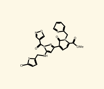 COC(=O)c1ccc(-c2cc(NCc3ccc(Cl)s3)n(C(=O)c3cnoc3)n2)c(=O)n1Cc1ccccn1